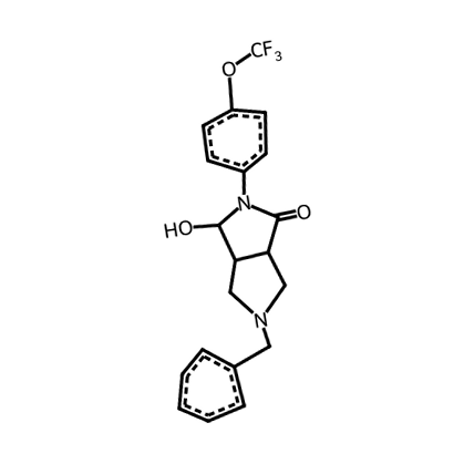 O=C1C2CN(Cc3ccccc3)CC2C(O)N1c1ccc(OC(F)(F)F)cc1